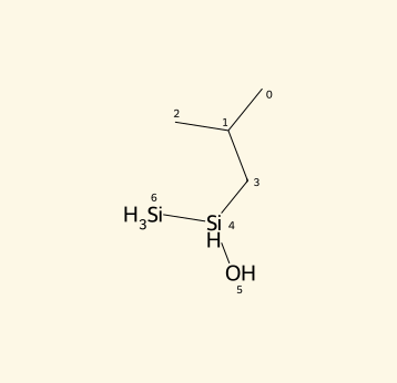 CC(C)C[SiH](O)[SiH3]